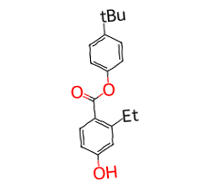 CCc1cc(O)ccc1C(=O)Oc1ccc(C(C)(C)C)cc1